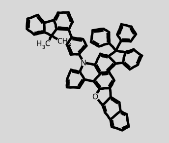 CC1(C)c2ccccc2-c2cccc(-c3ccc(N(c4ccc5c(c4)C(c4ccccc4)(c4ccccc4)c4ccccc4-5)c4ccccc4-c4cccc5c4oc4cc6ccccc6cc45)cc3)c21